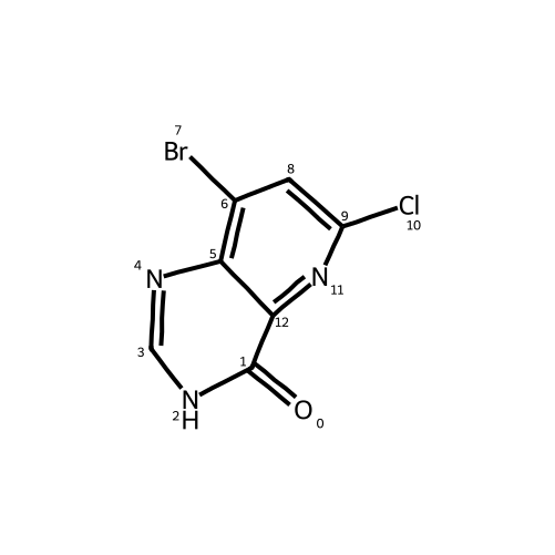 O=c1[nH]cnc2c(Br)cc(Cl)nc12